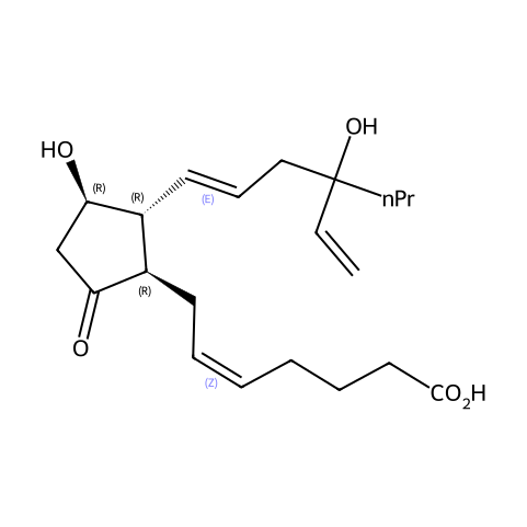 C=CC(O)(C/C=C/[C@H]1[C@H](O)CC(=O)[C@@H]1C/C=C\CCCC(=O)O)CCC